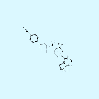 N#Cc1ccc(C(O)CNC(=O)[C@H]2CCN(c3ncnc4[nH]ccc34)CC23CC3)cc1